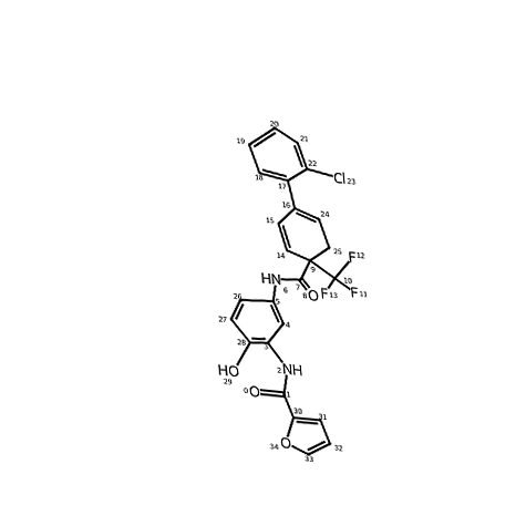 O=C(Nc1cc(NC(=O)C2(C(F)(F)F)C=CC(c3ccccc3Cl)=CC2)ccc1O)c1ccco1